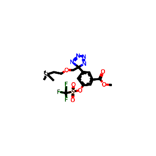 COC(=O)c1cc(OS(=O)(=O)C(F)(F)F)cc(C2(COCC[Si](C)(C)C)N=NN=N2)c1